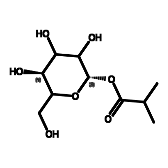 CC(C)C(=O)O[C@@H]1OC(CO)[C@@H](O)C(O)C1O